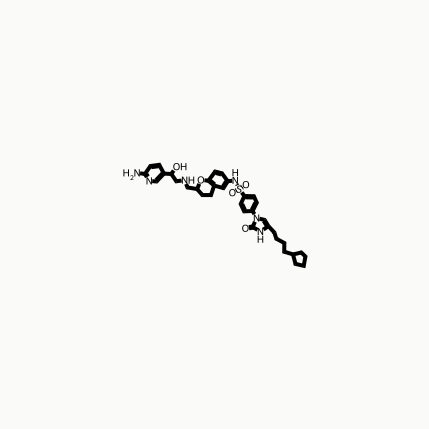 Nc1ccc(C(O)CNCC2CCc3cc(NS(=O)(=O)c4ccc(-n5cc(CCCCC6CCCC6)[nH]c5=O)cc4)ccc3O2)cn1